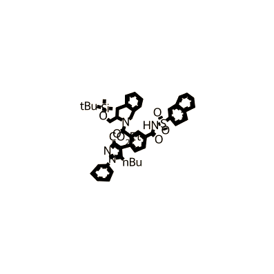 CCCCc1c(-c2ccc(C(=O)NS(=O)(=O)c3ccc4ccccc4c3)cc2C(=O)N2Cc3ccccc3CC2CO[Si](C)(C)C(C)(C)C)c(C(=O)OCC)nn1-c1ccccc1